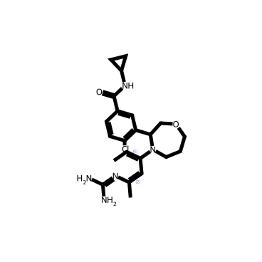 C/C=C(\C=C(\C)N=C(N)N)N1CCCOCC1c1cc(C(=O)NC2CC2)ccc1Cl